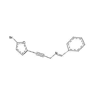 Brc1ccc(C#CCN=Cc2ccccc2)o1